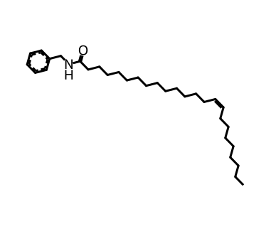 CCCCCCCC/C=C\CCCCCCCCCCCCCC(=O)NCc1ccccc1